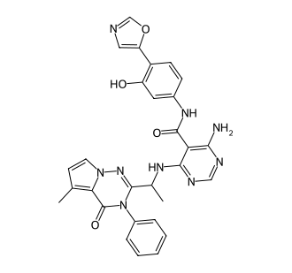 Cc1ccn2nc(C(C)Nc3ncnc(N)c3C(=O)Nc3ccc(-c4cnco4)c(O)c3)n(-c3ccccc3)c(=O)c12